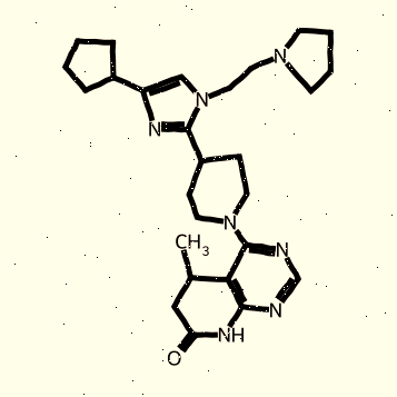 CC1CC(=O)Nc2ncnc(N3CCC(c4nc(C5CCCC5)cn4CCN4CCCC4)CC3)c21